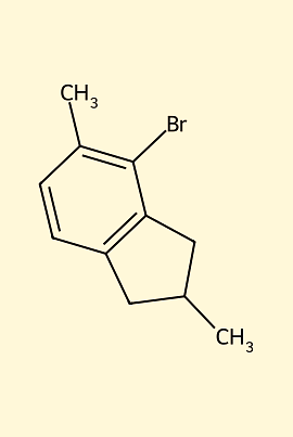 Cc1ccc2c(c1Br)CC(C)C2